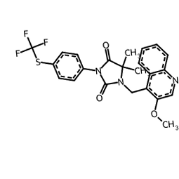 COc1cnc2ccccc2c1CN1C(=O)N(c2ccc(SC(F)(F)F)cc2)C(=O)C1(C)C